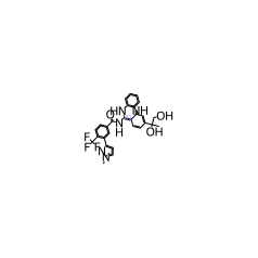 Cn1ccc(-c2cc(C(=O)N/C(Nc3ccccc3)=C3\C=CC(C(C)(O)CO)=CC3=N)ccc2C(F)(F)F)n1